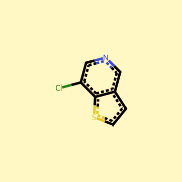 Clc1cncc2c[c]sc12